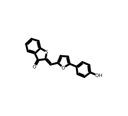 O=C1/C(=C/c2ccc(-c3ccc(O)cc3)o2)Sc2ccccc21